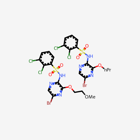 CCCOc1nc(Br)cnc1NS(=O)(=O)c1cccc(Cl)c1Cl.COCCOc1nc(Br)cnc1NS(=O)(=O)c1cccc(Cl)c1Cl